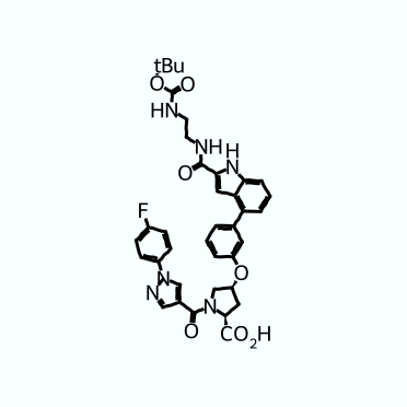 CC(C)(C)OC(=O)NCCNC(=O)c1cc2c(-c3cccc(O[C@H]4C[C@@H](C(=O)O)N(C(=O)c5cnn(-c6ccc(F)cc6)c5)C4)c3)cccc2[nH]1